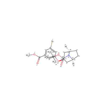 COC(=O)c1cc(Br)cc(O[C@H]2C[C@H]3CC[C@@H](C2)N3C(=O)OC(C)(C)C)c1